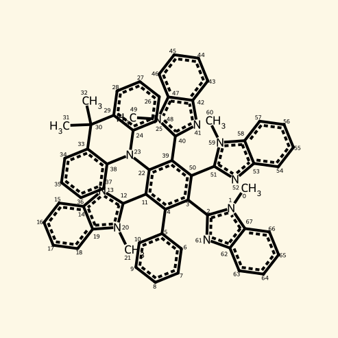 Cn1c(-c2c(-c3ccccc3)c(-c3nc4ccccc4n3C)c(N3c4ccccc4C(C)(C)c4ccccc43)c(-c3nc4ccccc4n3C)c2-c2nc3ccccc3n2C)nc2ccccc21